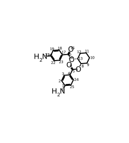 Nc1ccc(C(=O)O[C@@H]2CCCC[C@H]2OC(=O)c2ccc(N)cc2)cc1